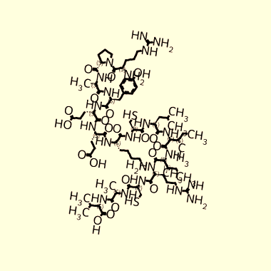 CC[C@H](C)[C@H](NC(=O)[C@H](CC(C)C)NC(=O)[C@H](CS)NC(=O)[C@H](CCCCN)NC(=O)[C@H](CCC(=O)O)NC(=O)[C@H](CCC(=O)O)NC(=O)[C@H](Cc1ccc(O)cc1)NC(=O)[C@H](C)NC(=O)[C@@H]1CCCN1C(=O)[C@@H](N)CCCNC(=N)N)C(=O)N[C@H](C(=O)N[C@@H](CCCNC(=N)N)C(=O)N[C@@H](CS)C(=O)N[C@@H](C)C(=O)N[C@H](C(=O)O)C(C)C)[C@@H](C)CC